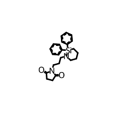 O=C1CCC(=O)N1CCCN1CCCC[Si]1(c1ccccc1)c1ccccc1